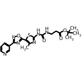 Cc1nc(NC(=O)NCCC(=O)OC(C)(C)C)sc1-c1nc(-c2cccnc2)no1